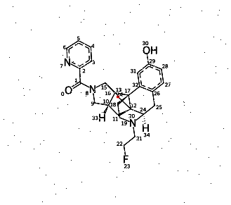 O=C(c1ccccn1)N1C[C@H]2C[C@@]34CCC1C2[C@@]31CCN(CCF)[C@@H]4Cc2ccc(O)cc21